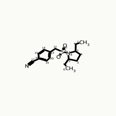 CCC1CCC(CC)N1S(=O)(=O)Cc1ccc(C#N)cc1